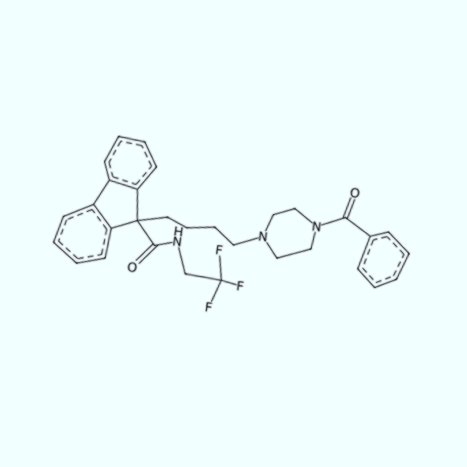 O=C(c1ccccc1)N1CCN(CCCCC2(C(=O)NCC(F)(F)F)c3ccccc3-c3ccccc32)CC1